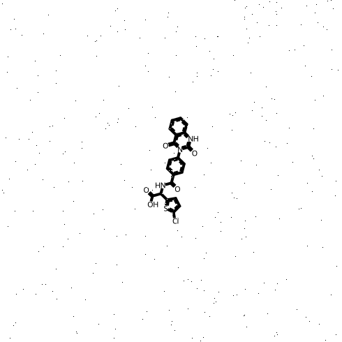 O=C(NC(C(=O)O)c1ccc(Cl)s1)c1ccc(-n2c(=O)[nH]c3ccccc3c2=O)cc1